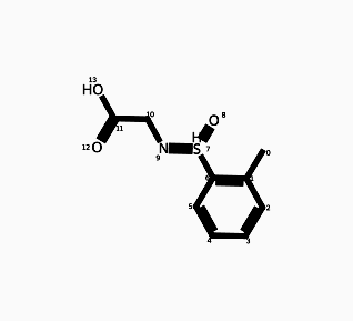 Cc1ccc[c]c1/[SH](=O)=N/CC(=O)O